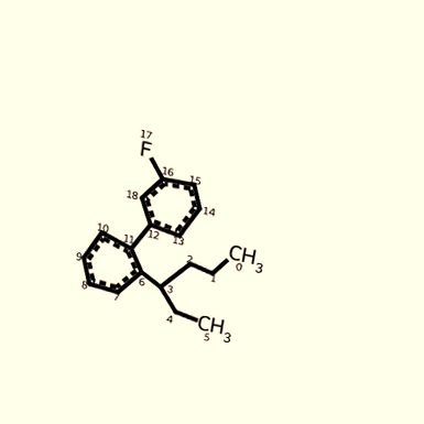 CCCC(CC)c1ccccc1-c1cccc(F)c1